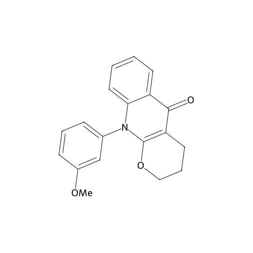 COc1cccc(-n2c3c(c(=O)c4ccccc42)CCCO3)c1